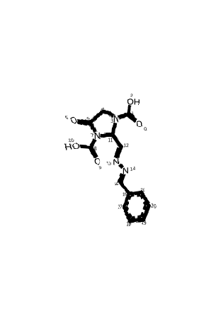 O=C(O)N1CC(=O)N(C(=O)O)C1C=NN=Cc1ccccc1